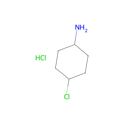 Cl.NC1CCC(Cl)CC1